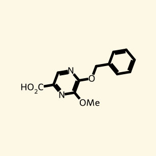 COc1nc(C(=O)O)cnc1OCc1ccccc1